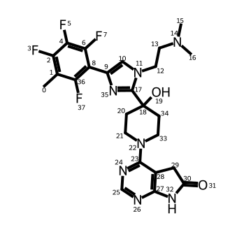 Cc1c(F)c(F)c(F)c(-c2cn(CCN(C)C)c(C3(O)CCN(c4ncnc5c4CC(=O)N5)CC3)n2)c1F